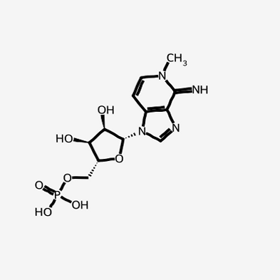 Cn1ccc2c(ncn2[C@@H]2O[C@H](COP(=O)(O)O)[C@@H](O)[C@H]2O)c1=N